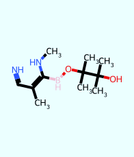 CN/C(BOC(C)(C)C(C)(C)O)=C(/C)C=N